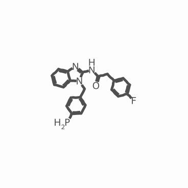 O=C(Cc1ccc(F)cc1)Nc1nc2ccccc2n1Cc1ccc(P)cc1